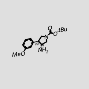 COc1cccc([C@H]2CN(C(=O)OC(C)(C)C)C[C@@H]2N)c1